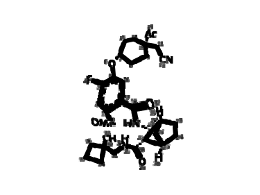 COc1cc(F)c(O[C@H]2CC[C@@](CC#N)(C(C)=O)CC2)cc1C(=O)N[C@@H]1[C@H]2CC[C@H](C2)[C@@H]1C(=O)NCC1(C)CCC1